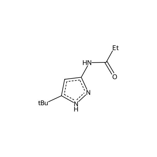 CCC(=O)Nc1cc(C(C)(C)C)[nH]n1